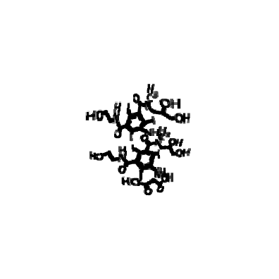 CN(CC(O)CO)C(=O)c1c(I)c(N)c(I)c(C(=O)NCCO)c1I.CN(CC(O)CO)C(=O)c1c(I)c(N)c(I)c(C(=O)NCCO)c1I.O=C(O)CC(=O)O